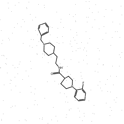 O=C(NCCC1CCN(Cc2ccccc2)CC1)C1CCN(c2ccccc2F)CC1